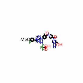 COc1ccc(-c2cnc3c(Nc4ccc(C(=O)N5CCC(C(=O)N6CCNC(CO)C6)CC5)c(C)c4)nccn23)cc1F.O=C(O)C(F)(F)F